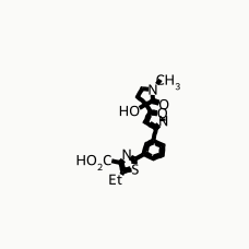 CCc1sc(-c2cccc(-c3cc(C4(O)CCN(C)C4=O)on3)c2)nc1C(=O)O